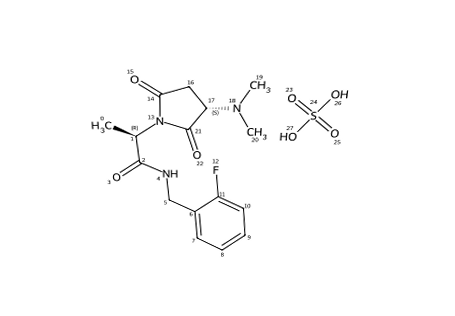 C[C@H](C(=O)NCc1ccccc1F)N1C(=O)C[C@H](N(C)C)C1=O.O=S(=O)(O)O